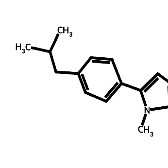 CC(C)Cc1ccc(-c2ccnn2C)cc1